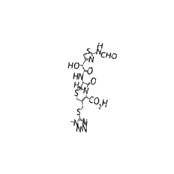 Cn1nnnc1SCC1=C(C(=O)O)N2C(=O)C(NC(=O)C(O)c3csc(NC=O)n3)[C@H]2SC1